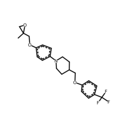 CC1(COc2ccc(N3CCC(COc4ccc(C(F)(F)F)cc4)CC3)cc2)CO1